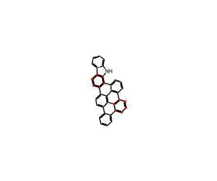 c1ccc(-c2cccc(-c3cccc4c3[nH]c3ccccc34)c2-c2c(-c3ccccc3)ccc3c4ccccc4c4ccccc4c23)cc1